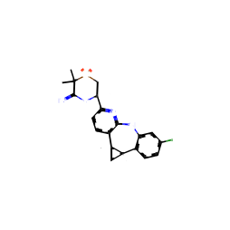 CC1(C)C(=N)N[C@](C)(c2ccc3c(n2)Nc2cc(F)ccc2[C@H]2C[C@@H]32)CS1(=O)=O